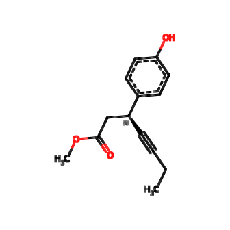 CCC#C[C@@H](CC(=O)OC)c1ccc(O)cc1